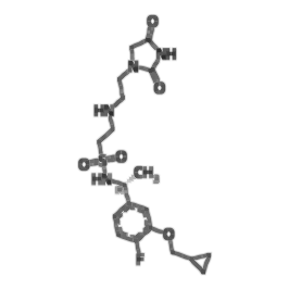 C[C@@H](NS(=O)(=O)CCNCCN1CC(=O)NC1=O)c1ccc(F)c(OCC2CC2)c1